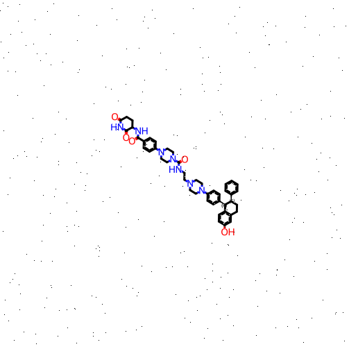 O=C1CCC(NC(=O)c2ccc(N3CCN(C(=O)NCCN4CCN(c5ccc([C@@H]6c7ccc(O)cc7CC[C@@H]6c6ccccc6)cc5)CC4)CC3)cc2)C(=O)N1